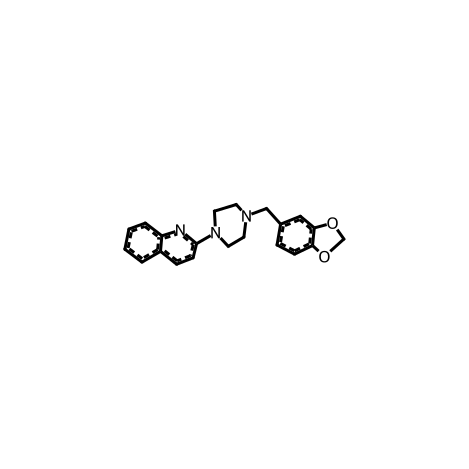 c1ccc2nc(N3CCN(Cc4ccc5c(c4)OCO5)CC3)ccc2c1